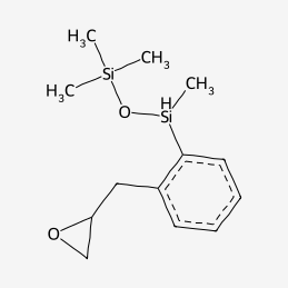 C[SiH](O[Si](C)(C)C)c1ccccc1CC1CO1